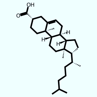 CC(C)CCC[C@@H](C)[C@H]1CC[C@H]2[C@@H]3CC=C4C[C@@H](C(=O)O)CC[C@]4(C)[C@H]3CC[C@]12C